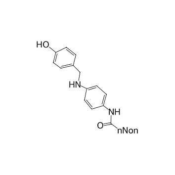 CCCCCCCCCC(=O)Nc1ccc(NCc2ccc(O)cc2)cc1